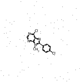 Cn1c(-c2ccc(Cl)cc2)nc2c(Cl)ncnc21